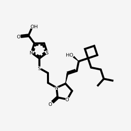 CC(C)CCC1([C@H](O)/C=C/[C@H]2COC(=O)N2CCSc2nc(C(=O)O)cs2)CCC1